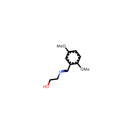 COc1ccc(OC)c(/C=N/CCO)c1